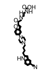 N#Cc1ccc2[nH]c(CCCCN3CCN(c4ccc5oc(C(=O)CNCCNC(=O)O)cc5c4)CC3)cc2c1